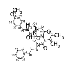 CCC(C)[C@H]1C(=O)N(CCCc2ccccc2)C[C@H]2N1C(=O)CN(C)N2C(=O)NCc1ccc(OC)cc1